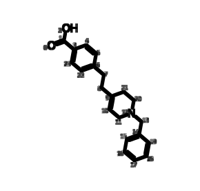 O=C(O)c1ccc(CCC2=CCN(Cc3ccccc3)CC2)cc1